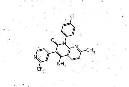 Cc1ccc2c(N)c(-c3ccnc(C(F)(F)F)c3)c(=O)n(-c3ccc(Cl)cc3)c2n1